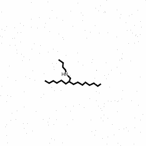 CCCCCCCCC(CCCCCC)CNCCCC